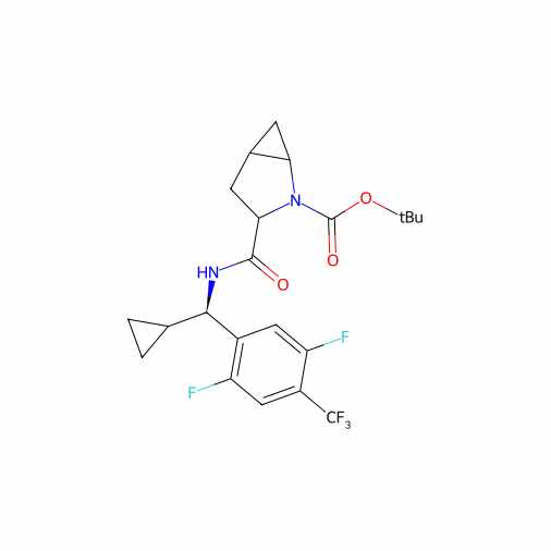 CC(C)(C)OC(=O)N1C(C(=O)N[C@@H](c2cc(F)c(C(F)(F)F)cc2F)C2CC2)CC2CC21